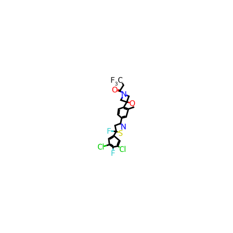 O=C(CC(F)(F)F)N1CC2(C1)OCc1cc(C3=NSC(F)(c4cc(Cl)c(F)c(Cl)c4)C3)ccc12